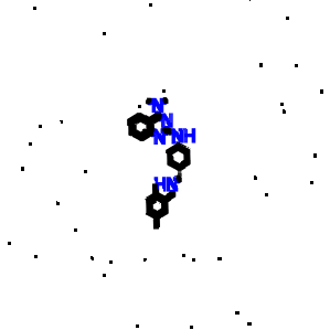 Cc1ccc(C)c(CNC[C@H]2CC[C@@H](Nc3nc(N(C)C)c4ccccc4n3)CC2)c1